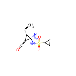 C=C[C@H]1C(=C=O)[C@]1(N)NS(=O)(=O)C1CC1